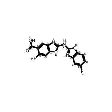 O=C(O)c1cc2nc(Nc3nc4cc(F)ccc4o3)oc2cc1F